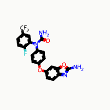 NC(=O)N(c1ccc(Oc2ccc3nc(N)oc3c2)cc1)c1cc(C(F)(F)F)ccc1F